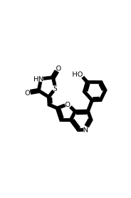 O=C1NC(=O)C(=Cc2cc3cncc(-c4cccc(O)c4)c3o2)S1